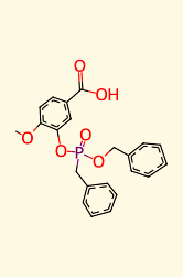 COc1ccc(C(=O)O)cc1OP(=O)(Cc1ccccc1)OCc1ccccc1